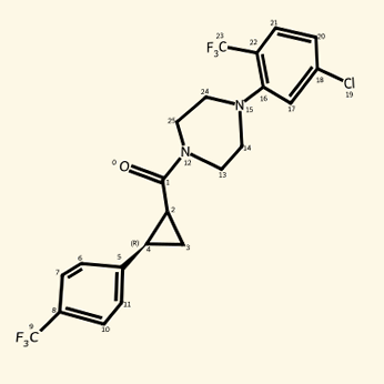 O=C(C1C[C@H]1c1ccc(C(F)(F)F)cc1)N1CCN(c2cc(Cl)ccc2C(F)(F)F)CC1